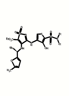 CCOC(=O)C1=C(N[C@@H](c2ccc(C)o2)C(C)(C)C)C(Nc2csc(S(=O)(=O)N(CC)CC)c2O)=NS1(=O)=O